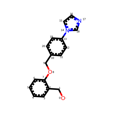 [O]Cc1ccccc1OCc1ccc(-n2ccnc2)cc1